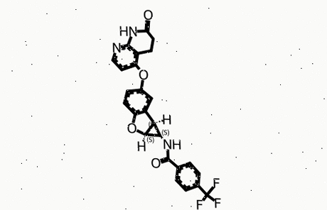 O=C1CCc2c(Oc3ccc4c(c3)[C@H]3[C@H](NC(=O)c5ccc(C(F)(F)F)cc5)[C@H]3O4)ccnc2N1